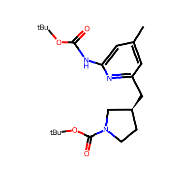 Cc1cc(C[C@H]2CCN(C(=O)OC(C)(C)C)C2)nc(NC(=O)OC(C)(C)C)c1